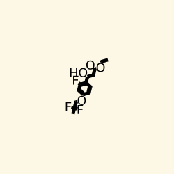 CCOC(=O)CC(O)c1ccc(OCC(C)(F)F)cc1F